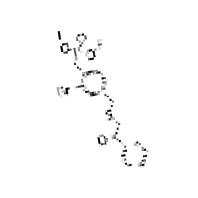 O=C(CSCc1ccc(CP(=O)(OF)OF)c(Br)c1)c1ccccc1